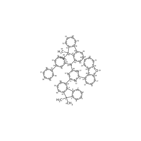 CC1(C)c2ccccc2-c2c(-c3nc(-c4cccc5oc6ccccc6c45)nc(N(c4cccc(-c5ccccc5)c4)c4cccc5c4C(C)(C)c4ccccc4-5)n3)cccc21